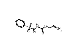 C=CCOC(=O)NNS(=O)(=O)c1ccccc1